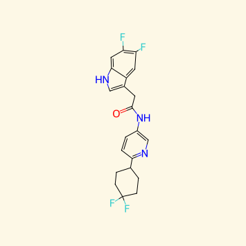 O=C(Cc1c[nH]c2cc(F)c(F)cc12)Nc1ccc(C2CCC(F)(F)CC2)nc1